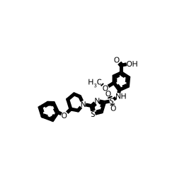 COc1cc(C(=O)O)ccc1NS(=O)(=O)c1csc(N2CCCC(Oc3ccccc3)C2)n1